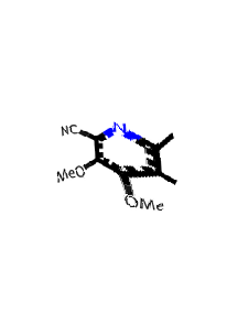 COc1c(C#N)nc(C)c(C)c1OC